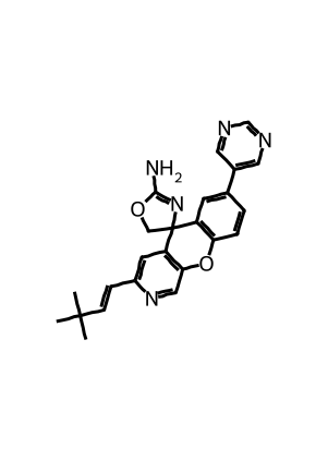 CC(C)(C)/C=C/c1cc2c(cn1)Oc1ccc(-c3cncnc3)cc1C21COC(N)=N1